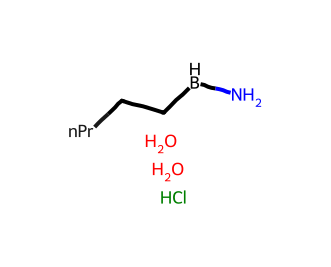 CCCCCBN.Cl.O.O